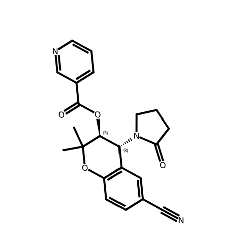 CC1(C)Oc2ccc(C#N)cc2[C@@H](N2CCCC2=O)[C@@H]1OC(=O)c1cccnc1